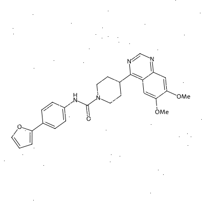 COc1cc2ncnc(C3CCN(C(=O)Nc4ccc(-c5ccco5)cc4)CC3)c2cc1OC